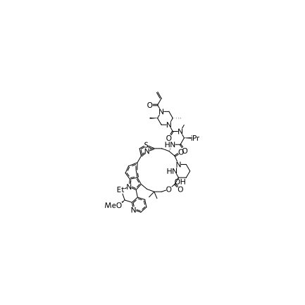 C=CC(=O)N1C[C@H](C)N(C(=O)N(C)[C@H](C(=O)N[C@H]2Cc3nc(cs3)-c3ccc4c(c3)c(c(-c3cccnc3[C@H](C)OC)n4CC)CC(C)(C)COC(=O)[C@@]3(O)CCCN(N3)C2=O)C(C)C)C[C@H]1C